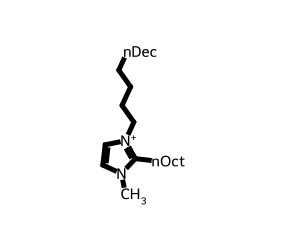 CCCCCCCCCCCCCC[n+]1ccn(C)c1CCCCCCCC